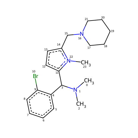 CN(C)C(c1ccccc1Br)c1ccc(CN2CCCCC2)n1C